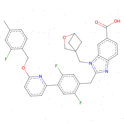 Cc1ccc(COc2cccc(-c3cc(F)c(Cc4nc5ccc(C(=O)O)cc5n4CC45COC(C4)C5)cc3F)n2)c(F)c1